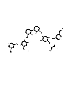 C/N=C/c1cncc(COc2cc(OCc3cccc(-c4cccc(COc5cc(OCc6cncc(C#N)c6)c(CO)cc5Cl)c4C)c3C)c(Cl)cc2CN[C@@H](C(=O)O)[C@@H](C)O)c1